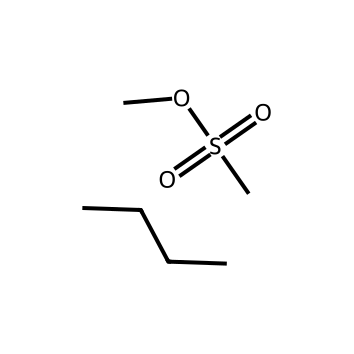 CCCC.COS(C)(=O)=O